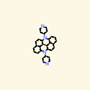 c1cc2ccc3c4c2c(c1)n(-c1ccncc1)c1ccc2cccc(c2c1-4)n3-c1ccncc1